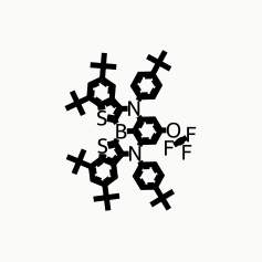 CC(C)(C)c1ccc(N2c3cc(OC(F)(F)F)cc4c3B(c3sc5c(C(C)(C)C)cc(C(C)(C)C)cc5c32)c2sc3c(C(C)(C)C)cc(C(C)(C)C)cc3c2N4c2ccc(C(C)(C)C)cc2)cc1